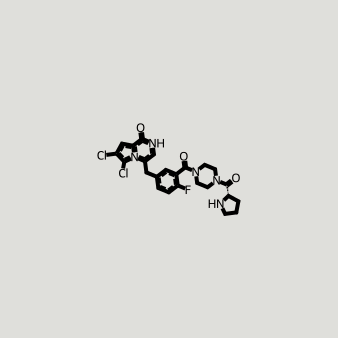 O=C(c1cc(Cc2c[nH]c(=O)c3cc(Cl)c(Cl)n23)ccc1F)N1CCN(C(=O)[C@@H]2CCCN2)CC1